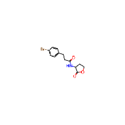 O=C(CCc1ccc(Br)cc1)NC1CCOC1=O